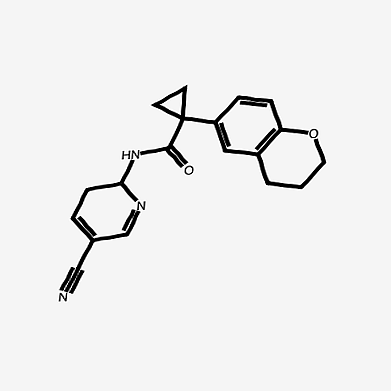 N#CC1=CCC(NC(=O)C2(c3ccc4c(c3)CCCO4)CC2)N=C1